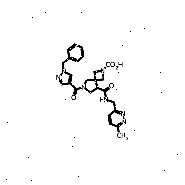 Cc1ccc(CNC(=O)C2CN(C(=O)c3cnn(Cc4ccccc4)c3)CC23CN(C(=O)O)C3)nn1